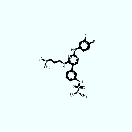 CN(C)CCCNc1nc(Nc2ccc(F)c(Cl)c2)ncc1-c1cccc(NS(=O)(=O)N(C)C)c1